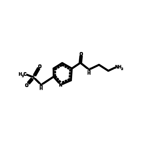 CS(=O)(=O)Nc1ccc(C(=O)NCCN)cn1